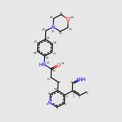 C/C=C(\C=N)c1ccncc1CCC(=O)Nc1ccc(CN2CCOCC2)cc1